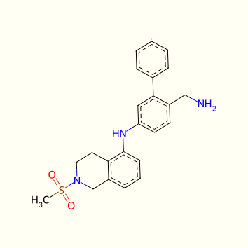 CS(=O)(=O)N1CCc2c(cccc2Nc2ccc(CN)c(-c3cc[c]cc3)c2)C1